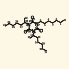 CCCCCCCn1c(=O)n(C(C)CCCCC)c(=O)n(C(C)CCCCC)c1=O